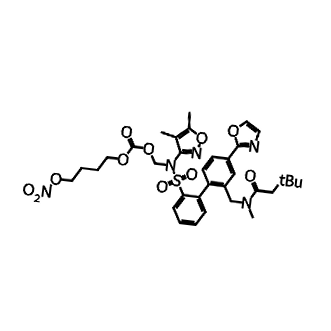 Cc1onc(N(COC(=O)OCCCCO[N+](=O)[O-])S(=O)(=O)c2ccccc2-c2ccc(-c3ncco3)cc2CN(C)C(=O)CC(C)(C)C)c1C